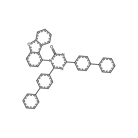 O=c1nc(-c2ccc(-c3ccccc3)cc2)nc(-c2ccc(-c3ccccc3)cc2)n1-c1cccc2oc3ccccc3c12